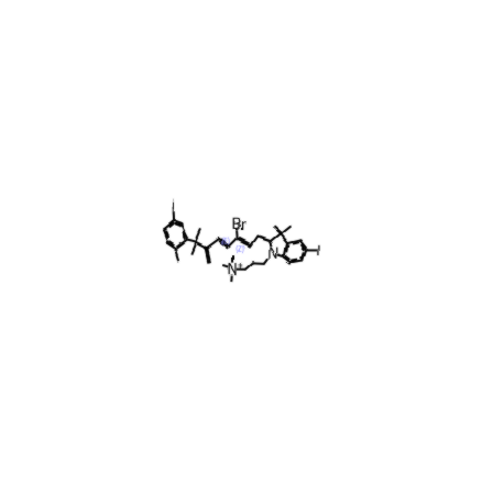 C=C(/C=C/C(Br)=C/CC1N(CCC[N+](C)(C)C)c2ccc(I)cc2C1(C)C)C(C)(C)c1cc(I)ccc1C